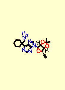 C#C[C@H]1O[C@@H](n2cnc3c(C4(CN)CCCCC4)ncnc32)[C@@H]2OC(C)(C)O[C@@H]21